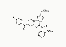 CCN(C(=O)c1ccc(COC)cc1N1CCC(C(=O)c2ccc(F)cc2)CC1)c1ccccc1OC